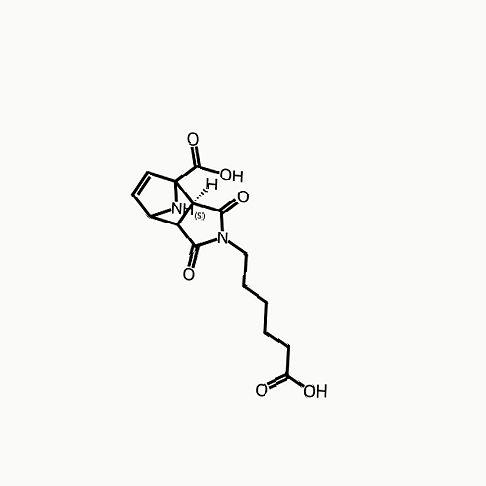 O=C(O)CCCCCN1C(=O)C2C3C=CC(C(=O)O)(N3)[C@H]2C1=O